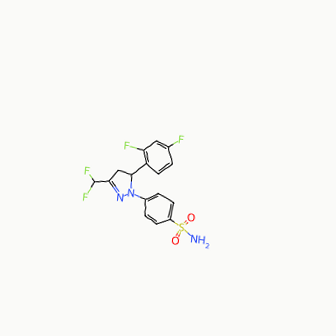 NS(=O)(=O)c1ccc(N2N=C(C(F)F)CC2c2ccc(F)cc2F)cc1